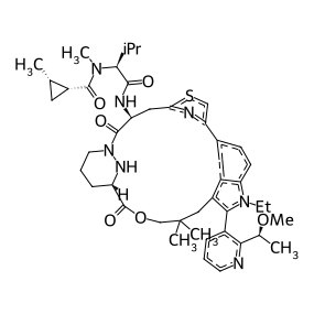 CCn1c(-c2cccnc2[C@H](C)OC)c2c3cc(ccc31)-c1csc(n1)C[C@H](NC(=O)[C@H](C(C)C)N(C)C(=O)[C@@H]1C[C@@H]1C)C(=O)N1CCC[C@H](N1)C(=O)OCC(C)(C)C2